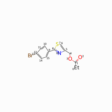 CCC(=O)OCc1csc(-c2ccc(Br)cc2)n1